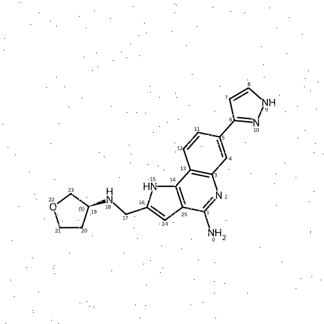 Nc1nc2cc(-c3cc[nH]n3)ccc2c2[nH]c(CN[C@H]3CCOC3)cc12